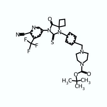 CC(C)(C)OC(=O)N1CCN(Cc2ccc(N3C(=S)N(c4cnc(C#N)c(C(F)(F)F)c4)C(=O)C34CCC4)cc2)CC1